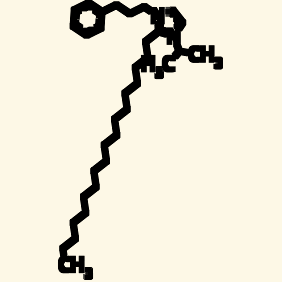 CCCCCCCCCCCCCCCCCCc1n(C(C)C)cc[n+]1CCCc1ccccc1